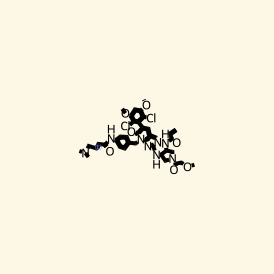 C=CC(=O)NC1CN(C(=O)COC)CC1Nc1ncc2cc(-c3c(Cl)c(OC)cc(OC)c3Cl)c(=O)n(Cc3ccc(NC(=O)/C=C/CN(C)C)cc3)c2n1